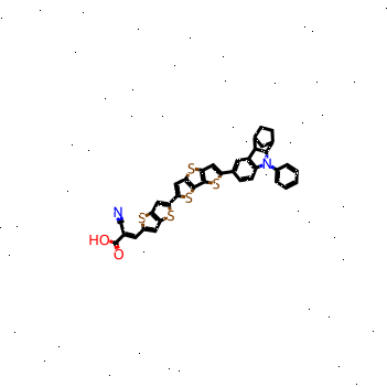 N#C/C(=C\c1cc2sc(-c3cc4sc5cc(-c6ccc7c(c6)C6C8CCC(C8)C6N7c6ccccc6)sc5c4s3)cc2s1)C(=O)O